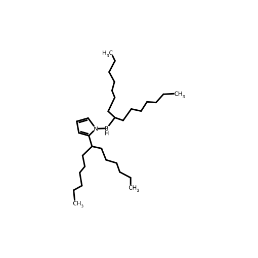 CCCCCCCC(Bn1cccc1C(CCCCCC)CCCCCC)CCCCCCC